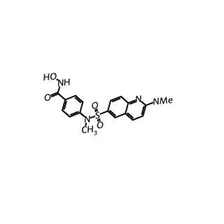 CNc1ccc2cc(S(=O)(=O)N(C)c3ccc(C(=O)NO)cc3)ccc2n1